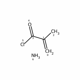 C=C(C)C(=O)Cl.N